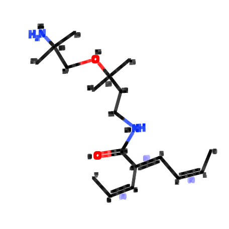 C\C=C/C=C(\C=C/C)C(=O)NCCC(C)(C)OCC(C)(C)N